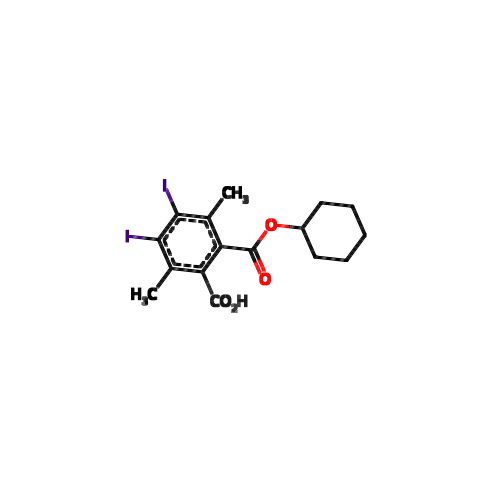 Cc1c(I)c(I)c(C)c(C(=O)OC2CCCCC2)c1C(=O)O